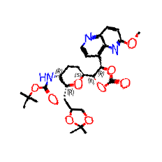 COc1ccc2nccc([C@H]3OC(=O)O[C@@H]3[C@@H]3CC[C@@H](NC(=O)OC(C)(C)C)[C@@H](CC4COC(C)(C)O4)O3)c2n1